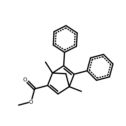 COC(=O)C1=CC2(C)CC1(C)C(c1ccccc1)=C2c1ccccc1